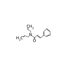 C=CCN(CC=C)C(=O)C=Cc1ccccc1